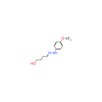 OCCCC=NNc1ccc(OC(F)(F)F)cc1